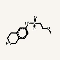 COCCS(=O)(=O)Nc1ccc2c(c1)CCNC2